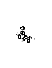 COC1CCC(Nc2ncc3c(-c4ccccc4C(N)=O)ncc(-c4ccc(C(=O)N5CCCCC5)cc4)c3n2)CC1